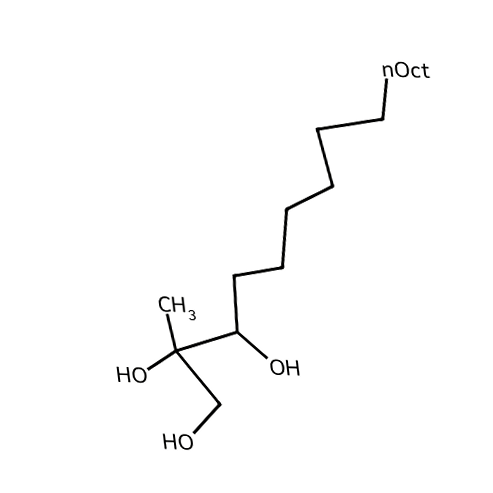 CCCCCCCCCCCCCCC(O)C(C)(O)CO